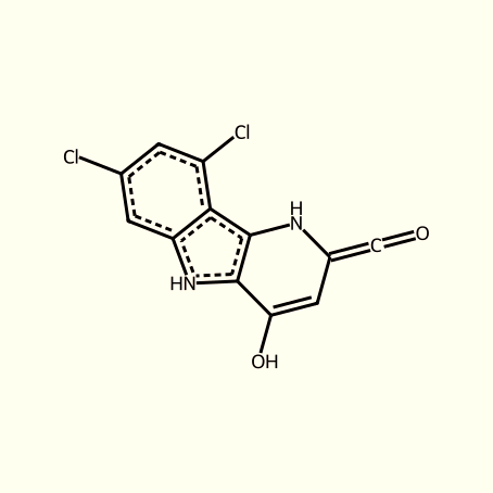 O=C=C1C=C(O)c2[nH]c3cc(Cl)cc(Cl)c3c2N1